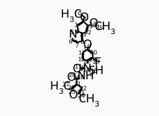 COc1cc2nccc(Oc3ccc(N(S)C(=O)NC(=O)c4cc(C)oc4C)c(F)c3)c2cc1OC